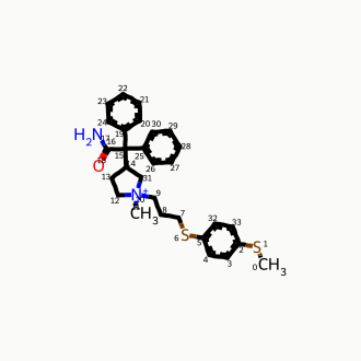 CSc1ccc(SCCC[N+]2(C)CCC(C(C(N)=O)(c3ccccc3)c3ccccc3)C2)cc1